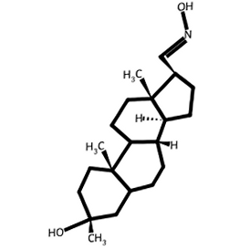 C[C@@]1(O)CC[C@@]2(C)C(CC[C@@H]3C2CC[C@]2(C)[C@@H](/C=N/O)CC[C@@H]32)C1